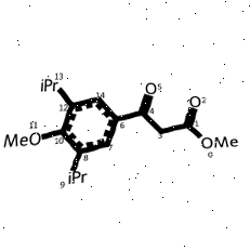 COC(=O)CC(=O)c1cc(C(C)C)c(OC)c(C(C)C)c1